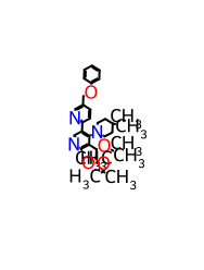 Cc1ncc(-c2ccc(COc3ccccc3)cn2)c(N2CCC(C)(C)CC2)c1[C@H](OC(C)(C)C)C(=O)OC(C)C